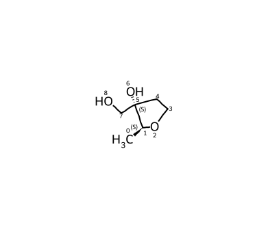 C[C@@H]1OCC[C@]1(O)CO